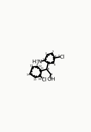 Nc1ccc(Cl)cc1C(CO)c1ccccc1Cl